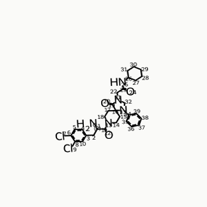 N[C@H](Cc1ccc(Cl)c(Cl)c1)C(=O)N1CCC2(CC1)C(=O)N(CC(=O)NC1CCCCC1)CN2c1ccccc1